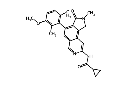 COc1ccc(C)c(-c2cc3cnc(NC(=O)C4CC4)cc3c3c2C(=O)N(C)C3)c1C